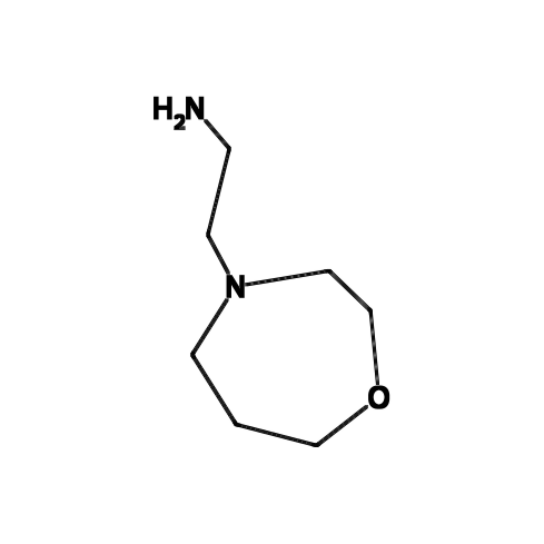 NCCN1CCCOCC1